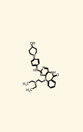 CCN(CC)CCN1c2ccccc2C(=O)Nc2cnc(Nc3ccc(N4CCC(O)CC4)cc3)nc21